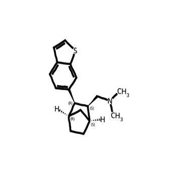 CN(C)C[C@H]1[C@H]2CC[C@H](C2)[C@H]1c1ccc2ccsc2c1